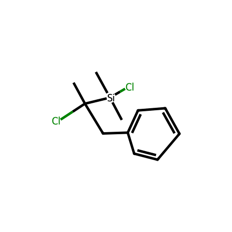 CC(Cl)(Cc1ccccc1)[Si](C)(C)Cl